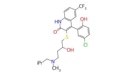 CC(C)CN(C)CCC(O)CSc1c(-c2cc(Cl)ccc2O)c2cc(C(F)(F)F)ccc2[nH]c1=O